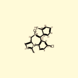 Cc1ncc2n1-c1ccc(Cl)cc1C(c1ccccc1F)=[N+]([O-])C2